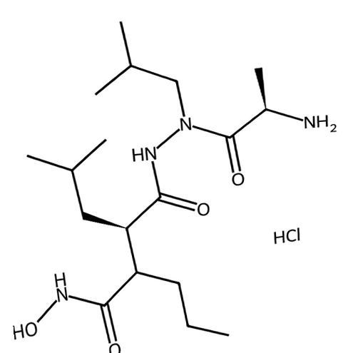 CCCC(C(=O)NO)[C@@H](CC(C)C)C(=O)NN(CC(C)C)C(=O)[C@@H](C)N.Cl